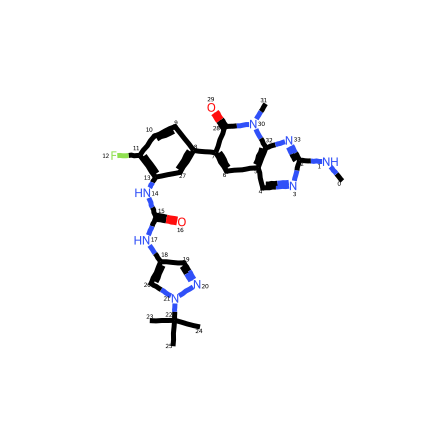 CNc1ncc2cc(-c3ccc(F)c(NC(=O)Nc4cnn(C(C)(C)C)c4)c3)c(=O)n(C)c2n1